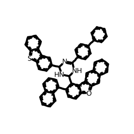 c1ccc(-c2ccc(C3=NC(c4ccc5sc6ccccc6c5c4)NC(c4c(-c5cccc6ccccc56)ccc5oc6cc7ccccc7cc6c45)N3)cc2)cc1